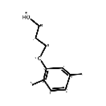 Cc1[c]cc(C)c(OCCCO)c1